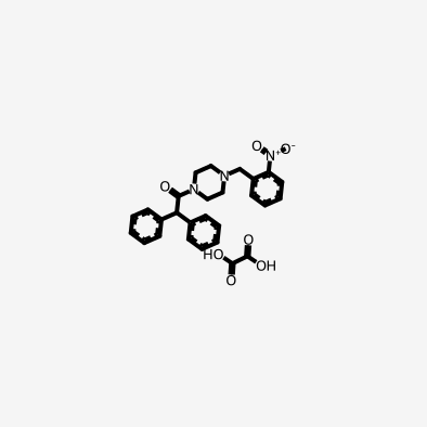 O=C(C(c1ccccc1)c1ccccc1)N1CCN(Cc2ccccc2[N+](=O)[O-])CC1.O=C(O)C(=O)O